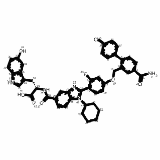 NC(=O)c1ccc(-c2ccc(Cl)cc2)c(COc2ccc(-c3nc4cc(C(=O)N[C@@H](Cc5c[nH]c6ccc(O)cc56)C(=O)O)ccc4n3C3CCCCC3)c(F)c2)c1